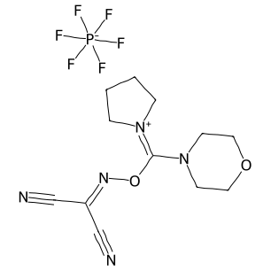 F[P-](F)(F)(F)(F)F.N#CC(C#N)=NOC(N1CCOCC1)=[N+]1CCCC1